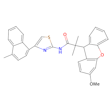 COc1ccc2c(c1)Oc1ccccc1C2C(C)(C)C(=O)Nc1nc(-c2ccc(C)c3ccccc23)cs1